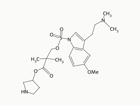 COc1ccc2c(c1)c(CCN(C)C)cn2S(=O)(=O)OCC(C)(C)C(=O)OC1CCNC1